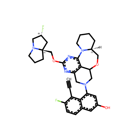 C#Cc1c(F)ccc2cc(O)cc(N3Cc4nc(OC[C@@]56CCCN5C[C@H](F)C6)nc5c4C(C3)OC[C@@H]3CCCCN53)c12